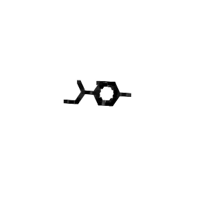 CCC(C)c1[c]cc(C)cc1